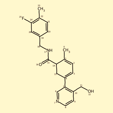 CC1=CC=C(c2cnccc2CO)CC1C(=O)NCc1ccc(C)c(F)c1